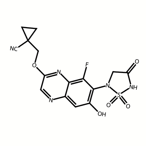 N#CC1(COc2cnc3cc(O)c(N4CC(=O)NS4(=O)=O)c(F)c3n2)CC1